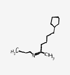 CCC/N=C(/C)CCCCC1CCCC1